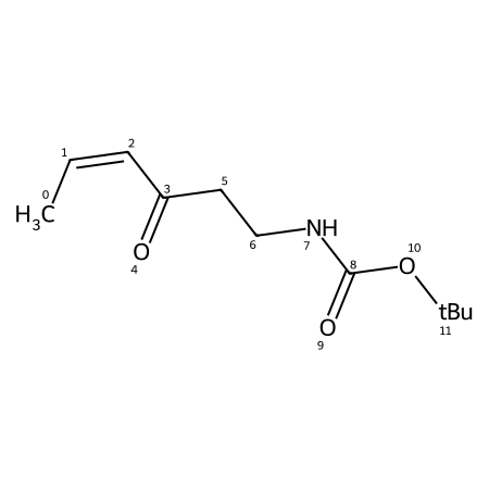 C/C=C\C(=O)CCNC(=O)OC(C)(C)C